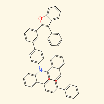 c1ccc(-c2ccc(-c3ccccc3N(c3ccc(-c4cccc(-c5oc6ccccc6c5-c5ccccc5)c4)cc3)c3cccc4ccccc34)cc2)cc1